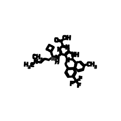 Cc1cccc(C2Nc3nc(C(=O)O)nc(N[C@H](CCCN(C)C)C4CCC4)c3N2Cc2ccc(C(F)(F)F)cc2)c1